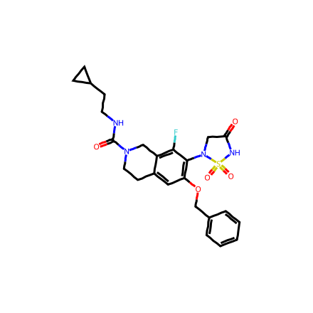 O=C1CN(c2c(OCc3ccccc3)cc3c(c2F)CN(C(=O)NCCC2CC2)CC3)S(=O)(=O)N1